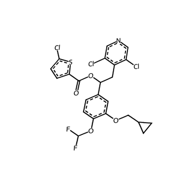 O=C(OC(Cc1c(Cl)cncc1Cl)c1ccc(OC(F)F)c(OCC2CC2)c1)c1ccc(Cl)s1